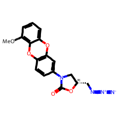 COc1cccc2c1Oc1ccc(N3C[C@H](CN=[N+]=[N-])OC3=O)cc1O2